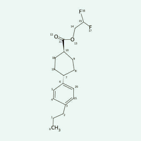 CCCc1ccc([C@H]2CC[C@H](C(=O)OCC(F)F)CC2)cc1